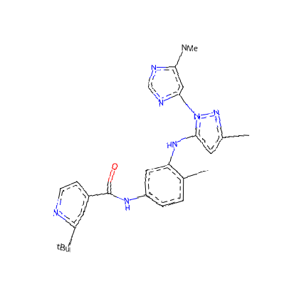 CNc1cc(-n2nc(C)cc2Nc2cc(NC(=O)c3ccnc(C(C)(C)C)c3)ccc2C)ncn1